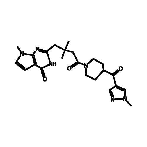 Cn1cc(C(=O)C2CCN(C(=O)CC(C)(C)Cc3nc4c(ccn4C)c(=O)[nH]3)CC2)cn1